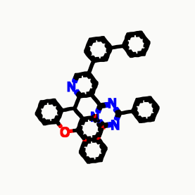 c1ccc(-c2cccc(-c3cnc(C4c5ccccc5Oc5ccccc54)c(-c4nc(-c5ccccc5)nc(-c5ccccc5)n4)c3)c2)cc1